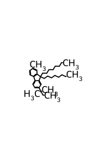 CCCCCCCCC1(CCCCCCCC)c2cc(C)ccc2-c2ccc(C(C)(C)CC)cc21